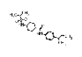 CCC(C)c1ccc(NC(=O)[C@H]2CC[C@H](NS(=O)(=O)C(C)C)CC2)cc1